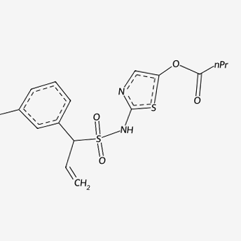 C=CC(c1cccc(Cl)c1)S(=O)(=O)Nc1ncc(OC(=O)CCC)s1